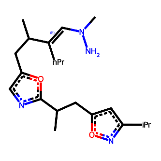 CCC/C(=C\N(C)N)C(C)Cc1cnc(C(C)Cc2cc(C(C)C)no2)o1